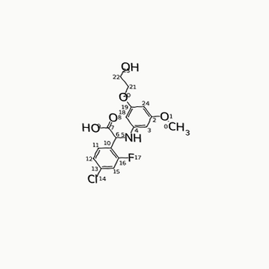 COc1cc(NC(C(=O)O)c2ccc(Cl)cc2F)cc(OCCO)c1